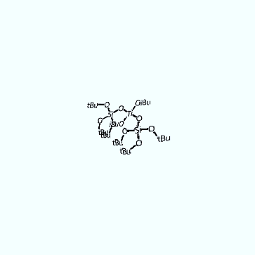 CC(C)C[O][Ti]([O]CC(C)C)([O][Si](OC(C)(C)C)(OC(C)(C)C)OC(C)(C)C)[O][Si](OC(C)(C)C)(OC(C)(C)C)OC(C)(C)C